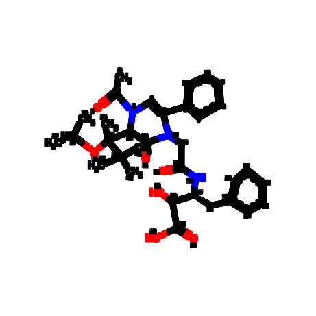 CC(=O)N1C=C(c2ccccc2)N(CC(=O)N[C@@H](Cc2ccccc2)C(O)C(=O)O)C(=O)C1C(C)(O[SiH](C)C)C(C)(C)C